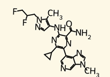 Cc1c(Nc2nc(C3CC3)c(-c3cncc4c3ncn4C)nc2C(N)=O)cnn1CC(F)CF